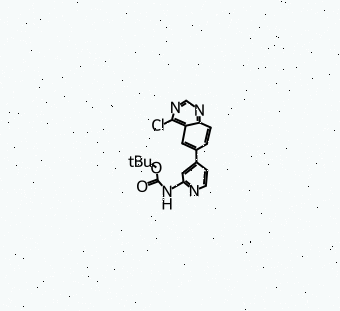 CC(C)(C)OC(=O)Nc1cc(-c2ccc3ncnc(Cl)c3c2)ccn1